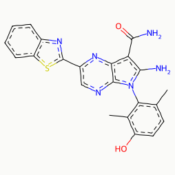 Cc1ccc(O)c(C)c1-n1c(N)c(C(N)=O)c2nc(-c3nc4ccccc4s3)cnc21